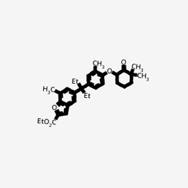 CCOC(=O)c1cc2cc(C(CC)(CC)c3ccc(OC4CCCC(C)(C)C4=O)c(C)c3)cc(C)c2o1